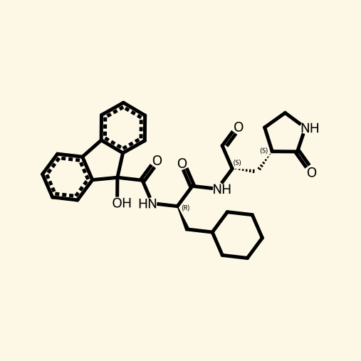 O=C[C@H](C[C@@H]1CCNC1=O)NC(=O)[C@@H](CC1CCCCC1)NC(=O)C1(O)c2ccccc2-c2ccccc21